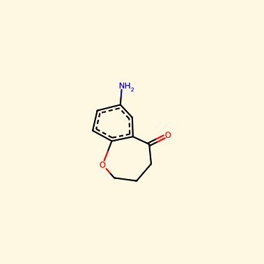 Nc1ccc2c(c1)C(=O)CCCO2